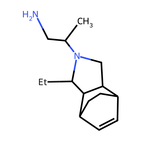 CCC1C2C3C=CC(CC3)C2CN1C(C)CN